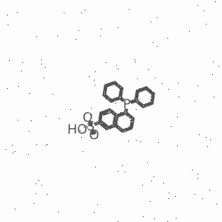 O=S(=O)(O)c1ccc2c(c1)CCCC2P(C1CCCCC1)C1CCCCC1